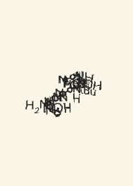 Cc1ncsc1-c1ccc([C@H](C)NC(=O)[C@@H]2C[C@@H](O)CN2C(O)[C@@H](NC(=O)C2CCC(c3cnc(N4CCC(n5nc(N)c6nnc(-c7ccccc7O)cc65)CC4)nc3)CC2)C(C)(C)C)cc1